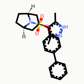 Cc1n[nH]c(C)c1S(=O)(=O)N1[C@@H]2CC[C@H]1C[C@@H](Oc1ccc(-c3ccccc3)cc1)C2